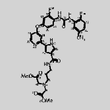 COC(=O)CN(CCCNC(=O)c1c[nH]c(-c2cc(Oc3ccc(NC(=O)Nc4cc(C)ccc4F)c(F)c3)ccn2)c1)CC(=O)OC